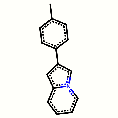 Cc1ccc(-c2cc3ccccn3c2)cc1